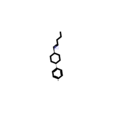 CCC/C=C/[C@H]1CC[C@H](c2cc[c]cc2)CC1